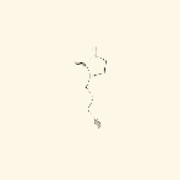 C#CCCCN1CCNC1=O